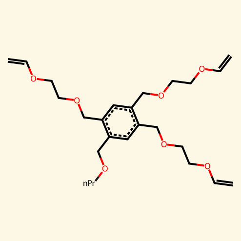 C=COCCOCc1cc(COCCOC=C)c(COCCOC=C)cc1COCCC